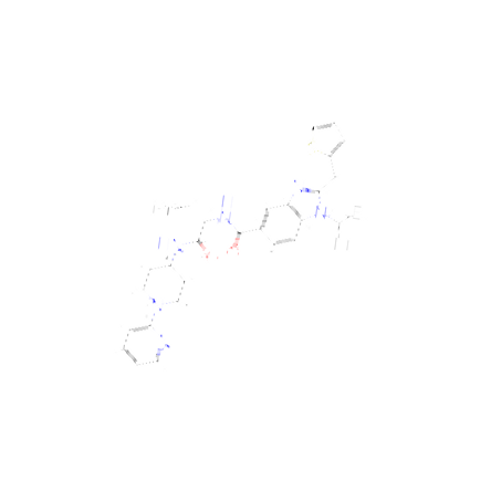 CCC(CC)n1c(Cc2cccs2)nc2cc(C(=O)N[C@@H](CC(C)C)C(=O)NC3CCN(c4ccccn4)CC3)ccc21